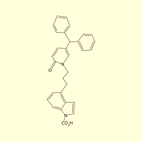 O=C(O)n1ccc2c(CCCn3cc(C(c4ccccc4)c4ccccc4)ccc3=O)cccc21